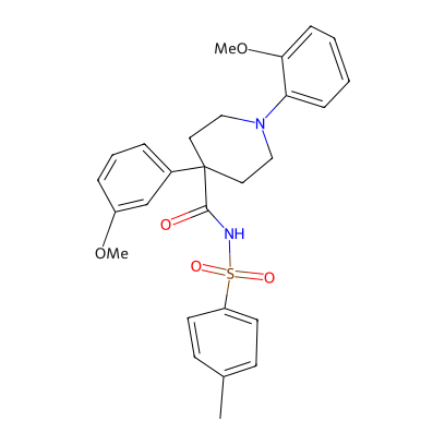 COc1cccc(C2(C(=O)NS(=O)(=O)c3ccc(C)cc3)CCN(c3ccccc3OC)CC2)c1